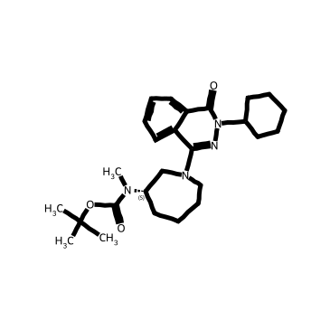 CN(C(=O)OC(C)(C)C)[C@H]1CCCCN(c2nn(C3CCCCC3)c(=O)c3ccccc23)C1